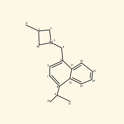 CC1CN(Cc2ccc(C(C)C)c3ccccc23)C1